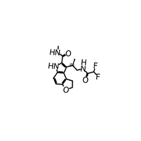 CNC(=O)c1[nH]c2ccc3c(c2c1[C@@H](C)CNC(=O)C(F)F)CCO3